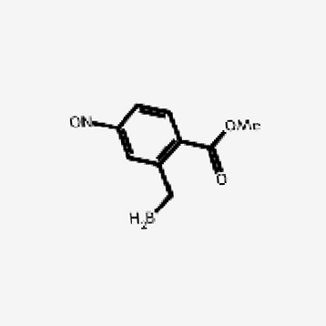 BCc1cc(N=O)ccc1C(=O)OC